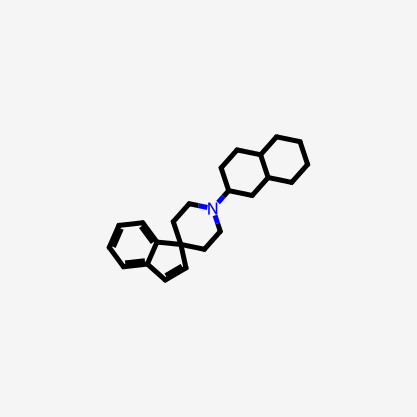 C1=CC2(CCN(C3CCC4CCCCC4C3)CC2)c2ccccc21